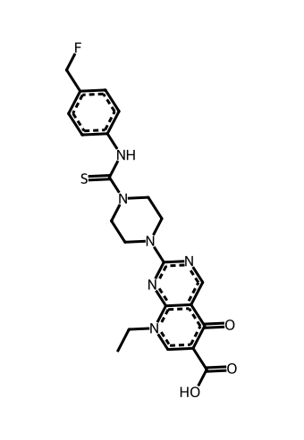 CCn1cc(C(=O)O)c(=O)c2cnc(N3CCN(C(=S)Nc4ccc(CF)cc4)CC3)nc21